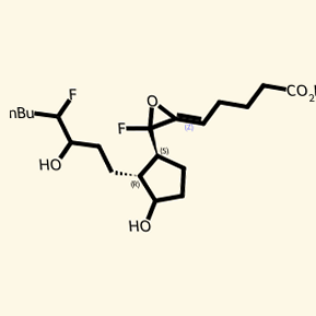 CCCCC(F)C(O)CC[C@H]1C(O)CC[C@@H]1C1(F)O/C1=C\CCCC(=O)O